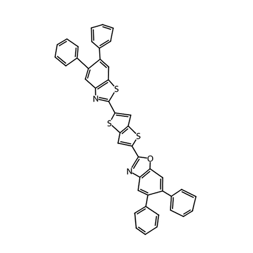 c1ccc(-c2cc3nc(-c4cc5sc(-c6nc7cc(-c8ccccc8)c(-c8ccccc8)cc7s6)cc5s4)oc3cc2-c2ccccc2)cc1